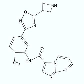 Cc1ccc(-c2noc(C3CNC3)n2)cc1NC(=O)c1cnc2ccccn12